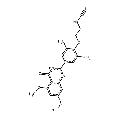 COc1cc(OC)c2c(=O)[nH]c(-c3cc(C)c(OCCNC#N)c(C)c3)nc2c1